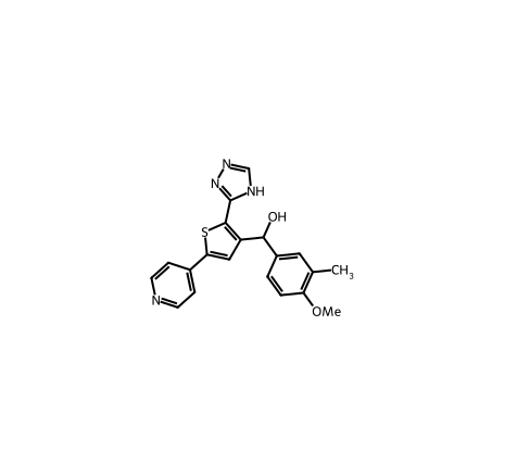 COc1ccc(C(O)c2cc(-c3ccncc3)sc2-c2nnc[nH]2)cc1C